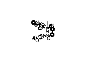 CC(C)(C)OC(=O)N1CCN(CCNC(=O)c2cccc(-c3ccc4nccc(C(=O)NCC(=O)N5CCCC5C(=O)c5nc6ccccc6o5)c4c3)c2)CC1